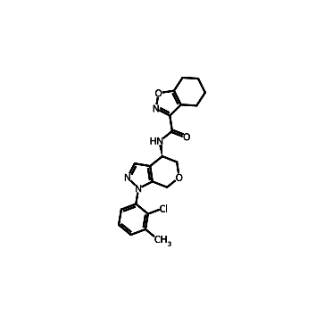 Cc1cccc(-n2ncc3c2COC[C@@H]3NC(=O)c2noc3c2CCCC3)c1Cl